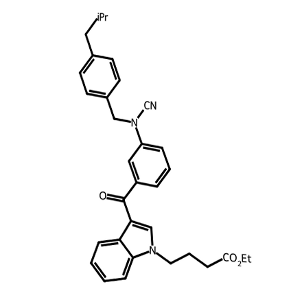 CCOC(=O)CCCn1cc(C(=O)c2cccc(N(C#N)Cc3ccc(CC(C)C)cc3)c2)c2ccccc21